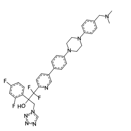 CN(C)Cc1ccc(N2CCN(c3ccc(-c4ccc(C(F)(F)C(O)(Cn5cnnn5)c5ccc(F)cc5F)nc4)cc3)CC2)cc1